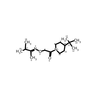 C/C(=N\OCC(=O)N1CCC(C(C)(C)C)CC1)C(C)C